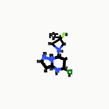 FC(F)(F)C1(F)CN(c2cc(Cl)nc3ccnn23)C1